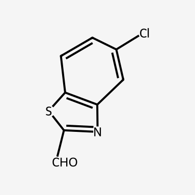 O=Cc1nc2cc(Cl)ccc2s1